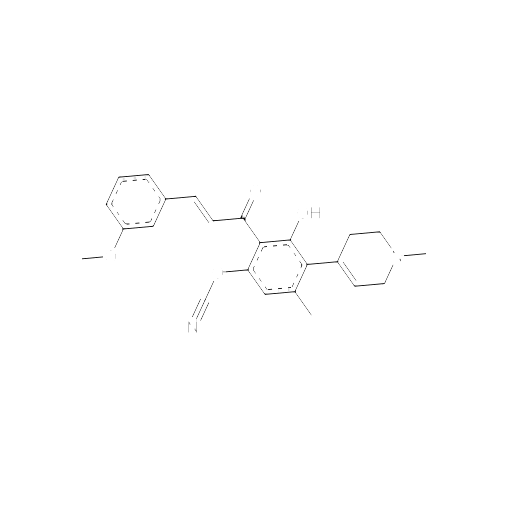 COc1cccc(/C=C/C(=O)c2c(OC#N)cc(C)c(C3=CCN(C)CC3)c2O)c1